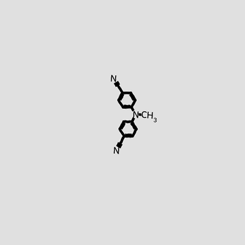 CN(c1ccc(C#N)cc1)c1ccc(C#N)cc1